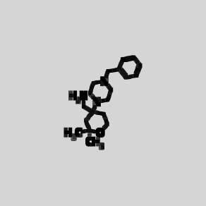 CC1(C)CC(CN)(N2CCN(Cc3ccccc3)CC2)CCO1